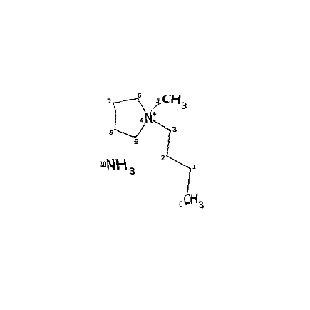 CCCC[N+]1(C)CCCC1.N